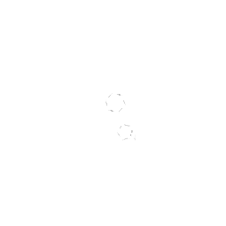 COCc1c(C)noc1-c1ccc(OC)cc1